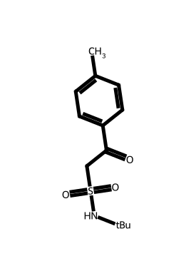 Cc1ccc(C(=O)CS(=O)(=O)NC(C)(C)C)cc1